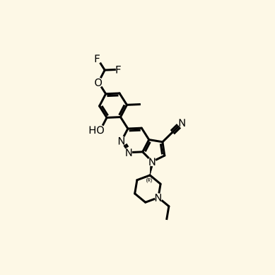 CCN1CCC[C@@H](n2cc(C#N)c3cc(-c4c(C)cc(OC(F)F)cc4O)nnc32)C1